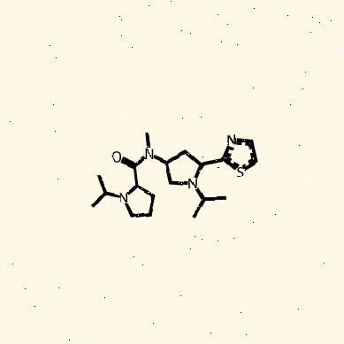 CC(C)N1CCCC1C(=O)N(C)C1CC(c2nccs2)N(C(C)C)C1